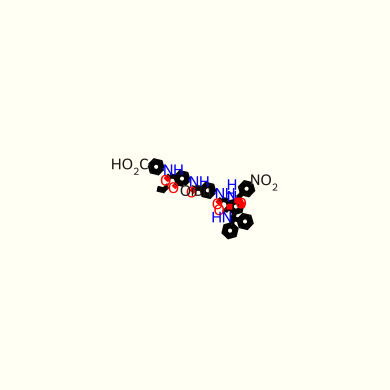 C=CCOc1c(C(=O)Nc2ccc(C(=O)O)cc2)ccc(NC(=O)c2ccc(NC(=O)C(CC(=O)NC(c3ccccc3)(c3ccccc3)c3ccccc3)NC(=O)c3ccc([N+](=O)[O-])cc3)cc2)c1OCC(C)C